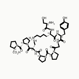 NCCCC[C@H](NC(=O)[C@@H](N)CO)C(=O)N[C@@H](Cc1ccc(O)cc1)C(=O)NCC(=O)N1CCC[C@H]1C(=O)N1CCC[C@H]1C(=O)N[C@@H](CS)C(=O)N1CCC[C@H]1C(=O)N1CCC[C@H]1C(=O)O